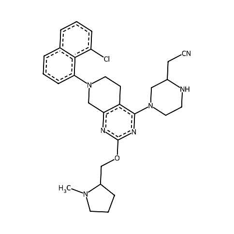 CN1CCCC1COc1nc2c(c(N3CCNC(CC#N)C3)n1)CCN(c1cccc3cccc(Cl)c13)C2